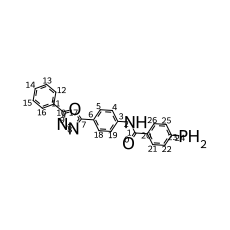 O=C(Nc1ccc(-c2nnc(-c3ccccc3)o2)cc1)c1ccc(P)cc1